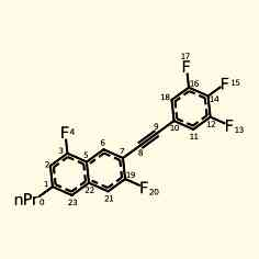 CCCc1cc(F)c2cc(C#Cc3cc(F)c(F)c(F)c3)c(F)cc2c1